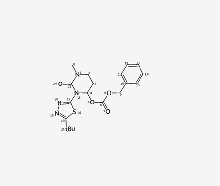 CN1CCC(OC(=O)OCc2ccccc2)N(c2nnc(C(C)(C)C)s2)C1=O